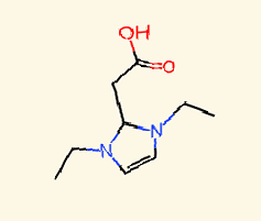 CCN1C=CN(CC)C1CC(=O)O